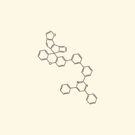 c1ccc(-c2cc(-c3ccccc3)nc(-c3cccc(-c4cccc(-c5ccc6c(c5)C5(c7ccccc7O6)c6ccccc6-c6c5ccc5ccoc65)c4)c3)n2)cc1